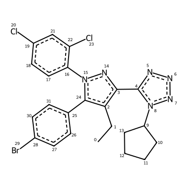 CCc1c(-c2nnnn2C2CCCC2)nn(-c2ccc(Cl)cc2Cl)c1-c1ccc(Br)cc1